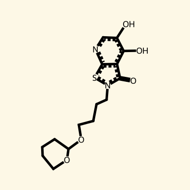 O=c1c2c(O)c(O)cnc2sn1CCCCOC1CCCCO1